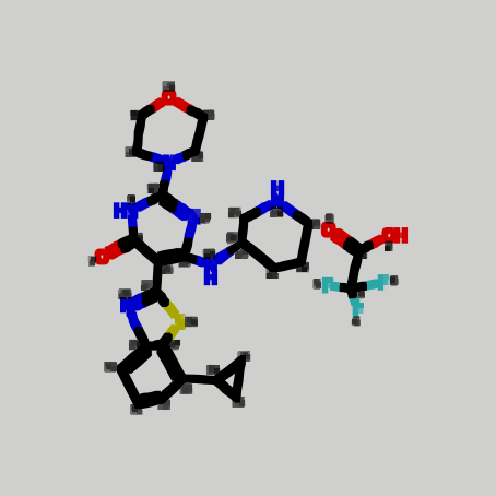 O=C(O)C(F)(F)F.O=c1[nH]c(N2CCOCC2)nc(N[C@@H]2CCCNC2)c1-c1nc2cccc(C3CC3)c2s1